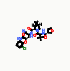 CC(C)(C)C(NC(=O)[C@@H]1CCOC1)C(=O)N1C[C@H]2[C@@H]([C@H]1C(=O)NC(C#N)C[C@@H]1Oc3c(Cl)cccc3NC1=O)C2(C)C